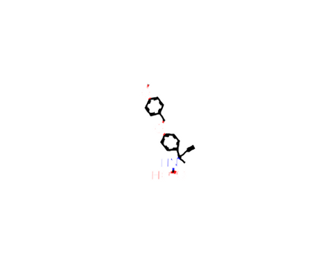 C#CC(C)(NC(=O)O)c1ccc(OCc2ccc(OC)cc2)cc1